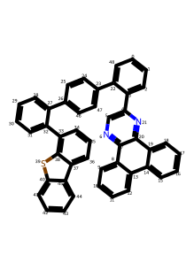 c1ccc(-c2cnc3c4ccccc4c4ccccc4c3n2)c(-c2ccc(-c3ccccc3-c3cccc4c3sc3ccccc34)cc2)c1